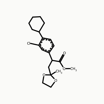 COC(=O)C(CC1(C)OCCO1)c1ccc(C2CCCCC2)c(Cl)c1